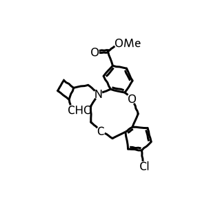 COC(=O)c1ccc2c(c1)N(CC1CCC1C=O)CCCCc1cc(Cl)ccc1CO2